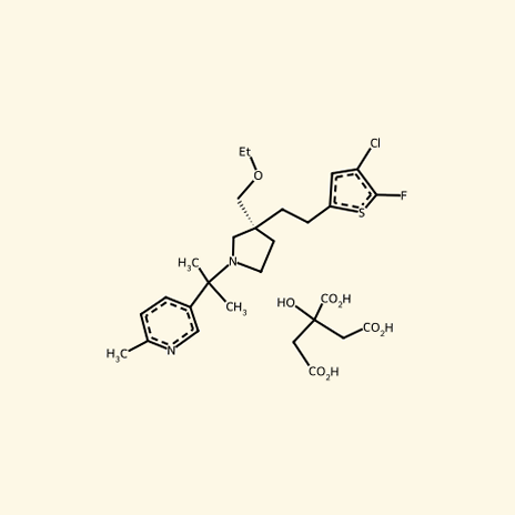 CCOC[C@]1(CCc2cc(Cl)c(F)s2)CCN(C(C)(C)c2ccc(C)nc2)C1.O=C(O)CC(O)(CC(=O)O)C(=O)O